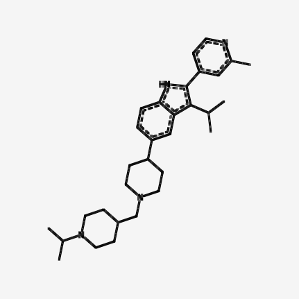 Cc1cc(-c2[nH]c3ccc(C4CCN(CC5CCN(C(C)C)CC5)CC4)cc3c2C(C)C)ccn1